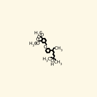 CC/C(=C/C=C/C(O)(CC)CC)c1cccc(OCc2ccc(C(=O)OC)c(C(=O)OC)c2)c1